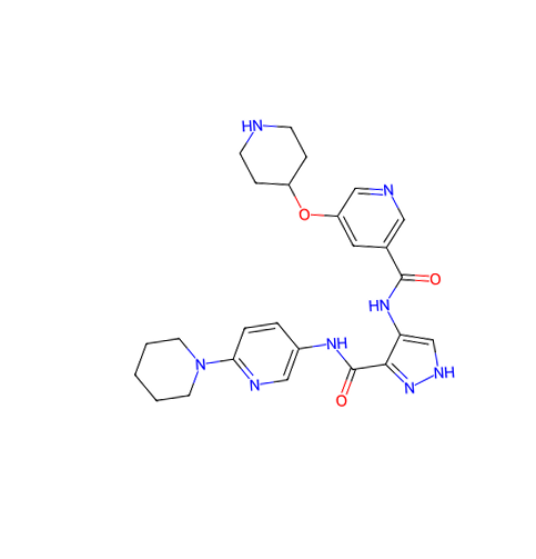 O=C(Nc1c[nH]nc1C(=O)Nc1ccc(N2CCCCC2)nc1)c1cncc(OC2CCNCC2)c1